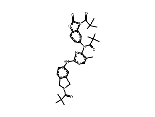 Cc1cnc(Nc2ccc3c(c2)CN(C(=O)C(C)(C)C)C3)nc1N(C(=O)C(C)(C)C)c1ccc2oc(=O)n(C(=O)C(C)(C)C)c2c1